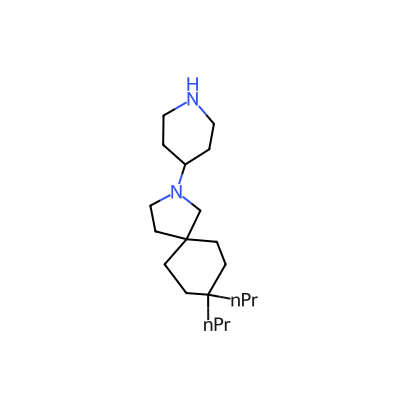 CCCC1(CCC)CCC2(CCN(C3CCNCC3)C2)CC1